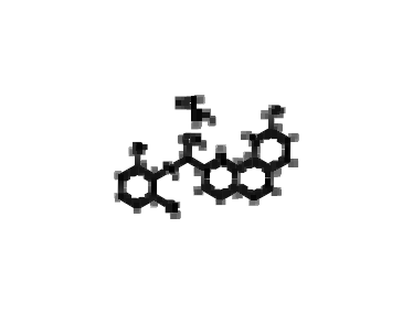 C=[C]([Fe][c]1c(Br)cccc1Br)c1ccc2ccc3ccc(C(C)C)nc3c2n1.Cl.N